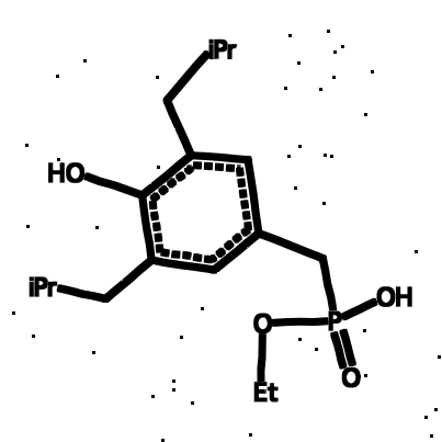 CCOP(=O)(O)Cc1cc(CC(C)C)c(O)c(CC(C)C)c1